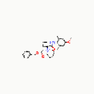 COc1cc(C)c(NC(=O)C2([N+]3(CC(=O)OCc4ccccc4)CCCCC3)CCC2)c(C)c1